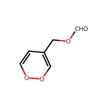 O=COCC1=COOC=C1